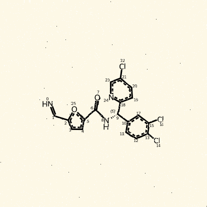 N=Cc1ccc(C(=O)N[C@@H](c2ccc(Cl)c(Cl)c2)c2ccc(Cl)cn2)o1